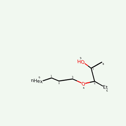 CCCCCCCCCOC(CC)C(C)O